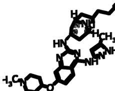 Cc1cc(Nc2nc(N[C@@H]3C[C@H]4CC(CCC#N)C[C@@H](C3)N4)nc3cc(OC4CCN(C)CC4)ccc23)n[nH]1